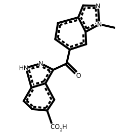 Cn1ncc2ccc(C(=O)c3n[nH]c4ccc(C(=O)O)cc34)cc21